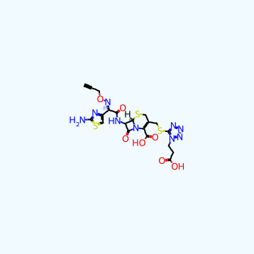 C#CCO/N=C(/C(=O)NC1C(=O)N2C(C(=O)O)=C(CSc3nnnn3CCC(=O)O)CS[C@H]12)c1csc(N)n1